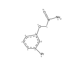 CC(C)c1cccc(OCC(N)=O)c1